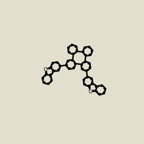 c1ccc2c(c1)-c1ccccc1-c1cc(-c3ccc4oc5ccccc5c4c3)ccc1-c1cc(-c3ccc4oc5ccccc5c4c3)ccc1-2